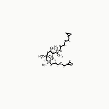 CC(CC(C)(C)O[Si](C)(C)CCCOCC1CO1)C[Si](C)(C)CCCOCC1CO1